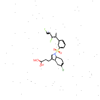 CC(C(F)/C=C/F)C1C=CC=C(S(=O)(=O)N2C=C(CCC(O)O)C3CC(Cl)=CCC32)C1